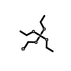 CCO[Si](OCC)(OCC)OCCl